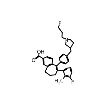 Cc1c(F)cccc1C1=C(c2ccc(CC3CCN(CCCF)C3)cc2)c2ccc(C(=O)O)cc2CCC1